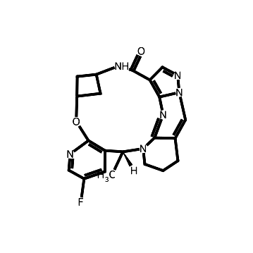 C[C@@H]1c2cc(F)cnc2OC2CC(C2)NC(=O)c2cnn3cc4c(nc23)N1CCC4